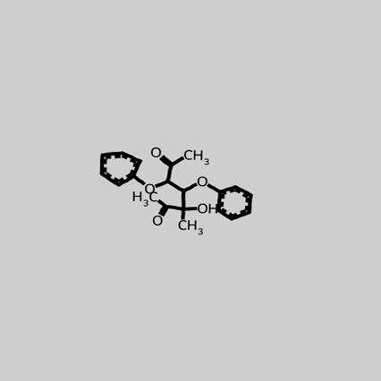 CC(=O)C(Oc1ccccc1)C(Oc1ccccc1)C(C)(O)C(C)=O